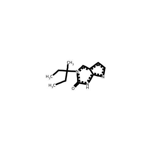 CCC(C)(CC)n1cc2ccnc-2[nH]c1=O